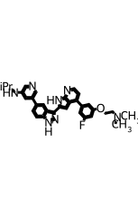 CC(C)Nc1cncc(-c2ccc3[nH]nc(-c4cc5c(-c6cc(F)cc(OCCN(C)C)c6)ccnc5[nH]4)c3c2)c1